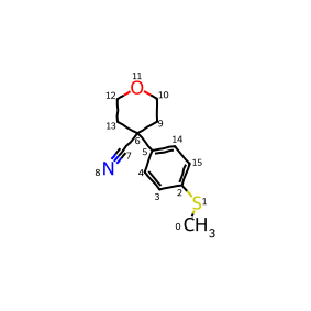 CSc1ccc(C2(C#N)CCOCC2)cc1